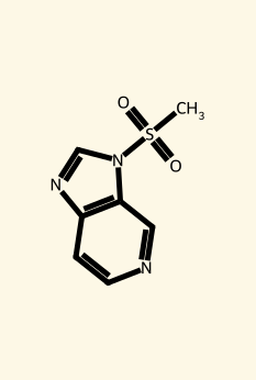 CS(=O)(=O)n1cnc2ccncc21